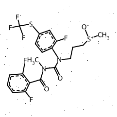 CN(C(=O)c1c(F)cccc1F)C(=O)N(CCC[S+](C)[O-])c1ccc(SC(F)(F)F)cc1F